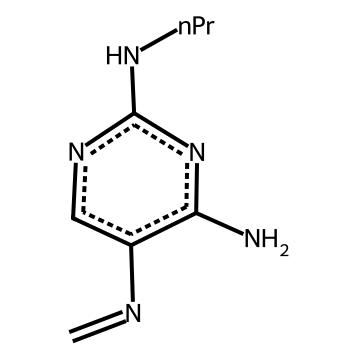 C=Nc1cnc(NCCC)nc1N